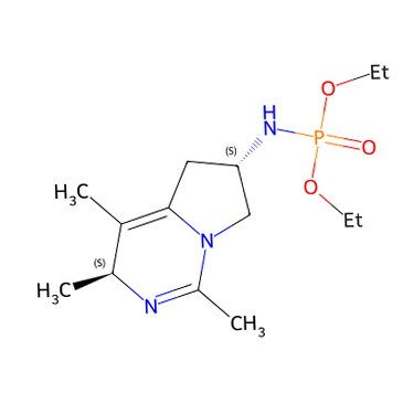 CCOP(=O)(N[C@H]1CC2=C(C)[C@H](C)N=C(C)N2C1)OCC